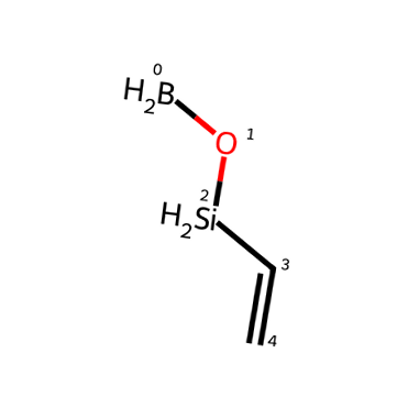 BO[SiH2]C=C